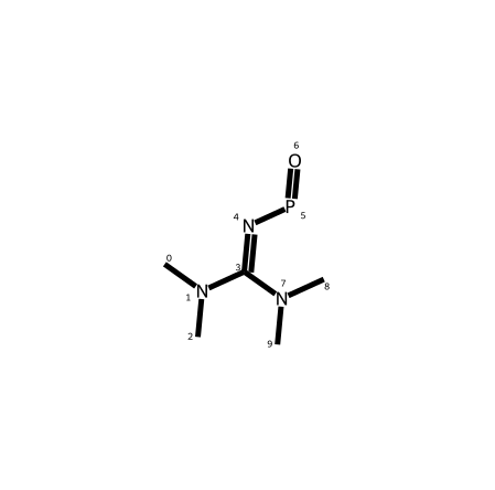 CN(C)C(=NP=O)N(C)C